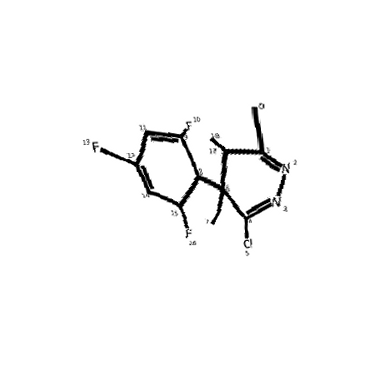 CC1=NN=C(Cl)C(C)(C2C(F)=CC(F)=CC2F)C1C